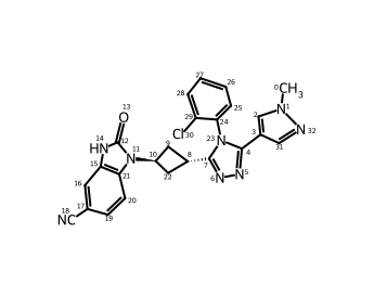 Cn1cc(-c2nnc([C@H]3C[C@H](n4c(=O)[nH]c5cc(C#N)ccc54)C3)n2-c2ccccc2Cl)cn1